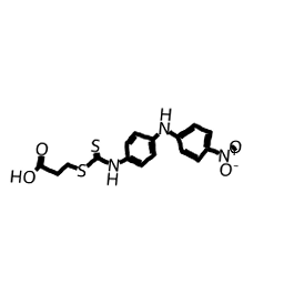 O=C(O)CCSC(=S)Nc1ccc(Nc2ccc([N+](=O)[O-])cc2)cc1